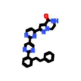 O=C1NCCn2nc(-c3ccnc(-c4cnc(-c5ccccc5CCc5ccccc5)nc4)n3)cc21